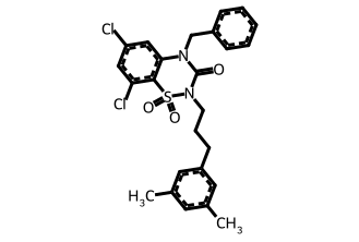 Cc1cc(C)cc(CCCN2C(=O)N(Cc3ccccc3)c3cc(Cl)cc(Cl)c3S2(=O)=O)c1